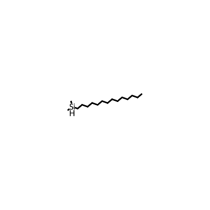 CCCCCCCCCCCCCC[SiH](C)C